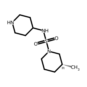 C[C@@H]1CCCN(S(=O)(=O)NC2CCNCC2)C1